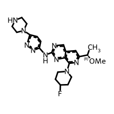 CO[C@H](C)c1cc2cnc(Nc3ccc(N4CCNCC4)nn3)nc2c(N2CCC(F)CC2)n1